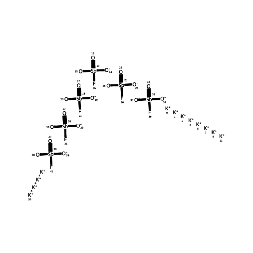 [K+].[K+].[K+].[K+].[K+].[K+].[K+].[K+].[K+].[K+].[K+].[K+].[O]=[Sb]([O-])([O-])[F].[O]=[Sb]([O-])([O-])[F].[O]=[Sb]([O-])([O-])[F].[O]=[Sb]([O-])([O-])[F].[O]=[Sb]([O-])([O-])[F].[O]=[Sb]([O-])([O-])[F]